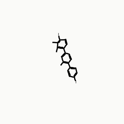 Cc1cc(-c2ccc(I)c(C)c2C)ccc1-c1ccc(I)cc1